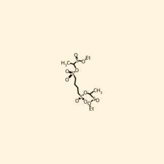 CCOS(=O)C(C)OS(=O)(=O)CCCCS(=O)(=O)OC(C)S(=O)OCC